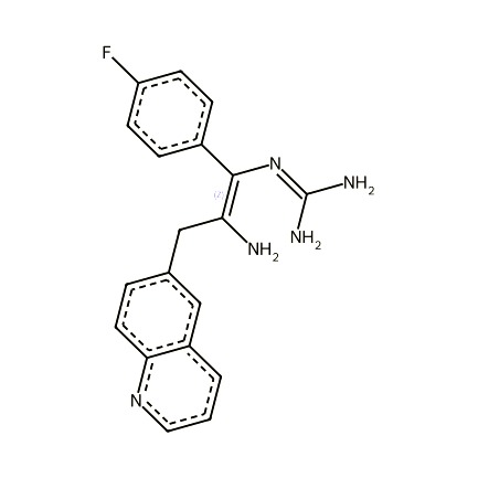 NC(N)=N/C(=C(\N)Cc1ccc2ncccc2c1)c1ccc(F)cc1